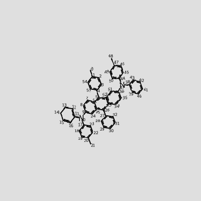 Cc1ccc(-c2c3ccc(N(C4=CCCC=C4)c4ccc(C)cc4)cc3c(-c3ccccc3)c3ccc(N(c4ccccc4)c4ccc(C)cc4)cc23)cc1